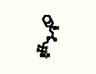 O=C(CCC1(O)CC2CCCC(C2)C1)OCCC(F)(F)C(F)(F)S(=O)(=O)O